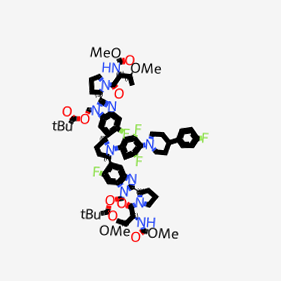 COC(=O)N[C@H](C(=O)N1CCC[C@H]1c1nc2cc([C@H]3CC[C@H](c4cc5c(cc4F)nc([C@@H]4CCCN4C(=O)[C@@H](NC(=O)OC)[C@@H](C)OC)n5COC(=O)C(C)(C)C)N3c3cc(F)c(N4CCC(c5ccc(F)cc5)CC4)c(F)c3)c(F)cc2n1COC(=O)C(C)(C)C)[C@@H](C)OC